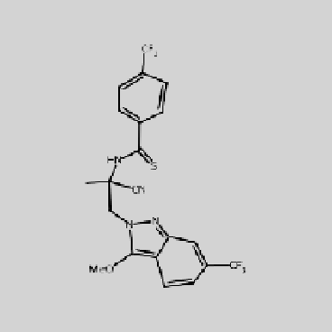 COc1c2ccc(C(F)(F)F)cc2nn1CC(C)(C#N)NC(=S)c1ccc(C(F)(F)F)cc1